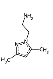 Cc1cc(C)n(CCN)n1